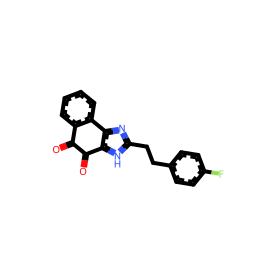 O=C1C(=O)c2[nH]c(CCc3ccc(F)cc3)nc2-c2ccccc21